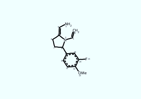 C=CN1/C(=C\N)CCC1c1ccc(OC)c(F)c1